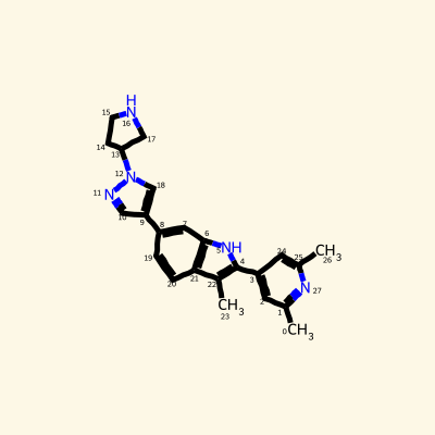 Cc1cc(-c2[nH]c3cc(-c4cnn(C5CCNC5)c4)ccc3c2C)cc(C)n1